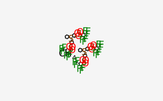 C.O=S(=O)(Oc1ccc([S+](c2ccccc2)c2ccc(OS(=O)(=O)c3cc(C(F)(F)F)cc(C(F)(F)F)c3)cc2)cc1)c1cc(C(F)(F)F)cc(C(F)(F)F)c1.O=S(=O)(Oc1ccc([S+](c2ccccc2)c2ccc(OS(=O)(=O)c3cc(C(F)(F)F)cc(C(F)(F)F)c3)cc2)cc1)c1cc(C(F)(F)F)cc(C(F)(F)F)c1